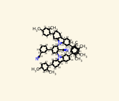 Cc1ccc(-c2ccc3c4ccc(-c5ccc(C)cc5C)cc4n(-c4cc(-c5cccc(C#N)c5)cc(-n5c6cc(-c7ccc(C)cc7C)ccc6c6ccc(-c7ccc(C)cc7C)cc65)c4C#N)c3c2)c(C)c1